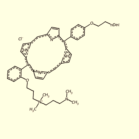 CCCCCCCCCCCCOc1ccc(-c2c3nc(cc4ccc([nH]4)c(-c4ccccc4OCCC[N+](C)(C)CCCN(C)C)c4nc(cc5ccc2[nH]5)C=C4)C=C3)cc1.[Cl-]